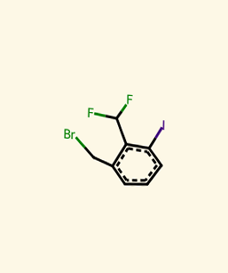 FC(F)c1c(I)cccc1CBr